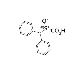 O=C(O)[S@@+]([O-])C(c1ccccc1)c1ccccc1